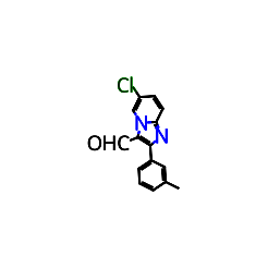 Cc1cccc(-c2nc3ccc(Cl)cn3c2C=O)c1